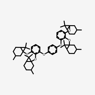 CC1CCC2C(C)(C)C2(Oc2cccc(Oc3ccc(Oc4cccc(OC56CC(C)CCC5C6(C)C)c4OC45CC(C)CCC4C5(C)C)cc3)c2OC23CC(C)CCC2C3(C)C)C1